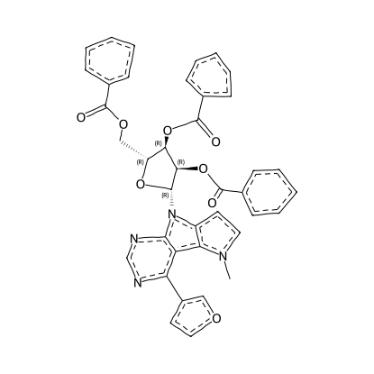 Cn1ccc2c1c1c(-c3ccoc3)ncnc1n2[C@@H]1O[C@H](COC(=O)c2ccccc2)[C@@H](OC(=O)c2ccccc2)[C@H]1OC(=O)c1ccccc1